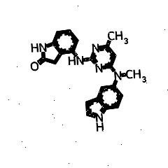 Cc1cc(N(C)c2ccc3[nH]ccc3c2)nc(Nc2cccc3c2CC(=O)N3)n1